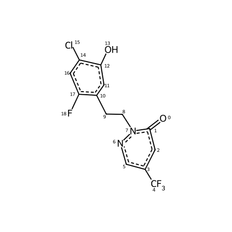 O=c1cc(C(F)(F)F)cnn1CCc1cc(O)c(Cl)cc1F